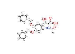 CC(=O)N[C@H](C(=O)O)C(O)c1ccc(OCc2ccccc2)c(OCc2ccccc2)c1